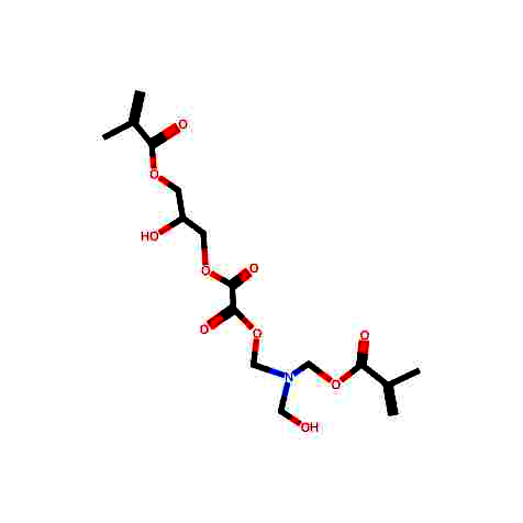 C=C(C)C(=O)OCC(O)COC(=O)C(=O)OCN(CO)COC(=O)C(=C)C